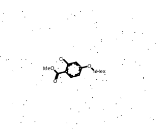 CCCCCCOc1ccc(C(=O)OC)c(Cl)c1